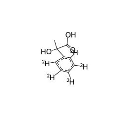 [2H]c1c([2H])c([2H])c(C(C)(O)C(=O)O)c([2H])c1[2H]